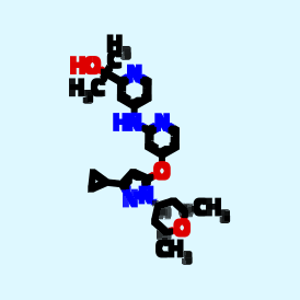 C[C@@H]1C[C@H](n2nc(C3CC3)cc2Oc2ccnc(Nc3ccnc(C(C)(C)O)c3)c2)C[C@H](C)O1